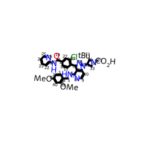 COc1ccc(CNc2nccc3c2c(-c2ccc(C(=O)Nc4ccccn4)cc2Cl)nn3C2CN(C(=O)O)C2C(C)(C)C)c(OC)c1